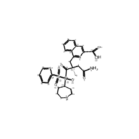 C[C@@](CC(N)=O)(Cc1nc(C(=O)O)cc2ccccc12)C(=O)[N+]([O-])(C1CCCNCC1)S(=O)(=O)c1ccccn1